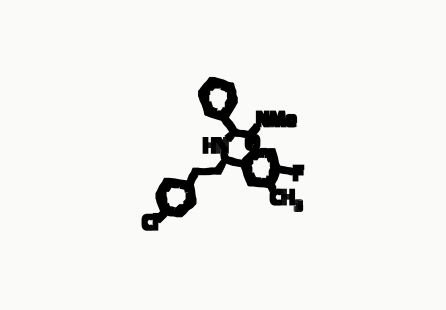 CNC(=O)[C@@H](N[C@H](CCc1ccc(Cl)cc1)c1ccc(F)c(C)c1)c1ccccc1